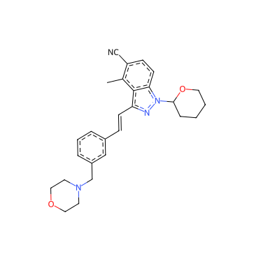 Cc1c(C#N)ccc2c1c(C=Cc1cccc(CN3CCOCC3)c1)nn2C1CCCCO1